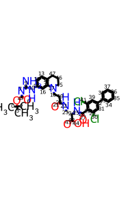 CC(C)(C)OC(=O)/N=C(/N)Nc1ccc2c(c1)N(CCC(=O)NC[C@H](NC(=O)c1c(Cl)cc(-c3ccccc3)cc1Cl)C(=O)O)CCC2